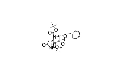 CC(C)(C)OC(=O)N1[C@H](COCc2ccccc2)[C@H]2OC(C)(C)O[C@H]2[C@@H]1CC(N)=O